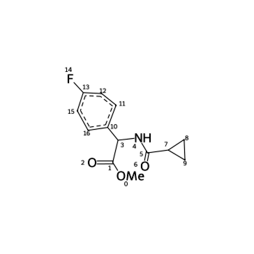 COC(=O)C(NC(=O)C1CC1)c1ccc(F)cc1